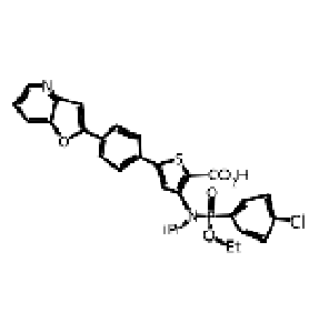 CCOP(=O)(c1ccc(Cl)cc1)N(c1cc(-c2ccc(-c3cc4ncccc4o3)cc2)sc1C(=O)O)C(C)C